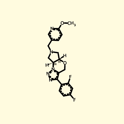 COc1ccc(CN2C[C@@H]3OCc4c(-c5ccc(F)cc5F)nnn4[C@H]3C2)cn1